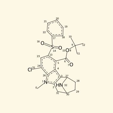 Cn1c2c(c3c(C(=O)OC(C)(C)C)c(S(=O)(=O)c4ccccc4)cc(Cl)c31)C1CCC(C2)N1